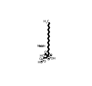 CCCCCCCCCCCCCCCCC(CCS(=O)(=O)O)(C(=O)O)S(=O)(=O)O.[NaH].[NaH]